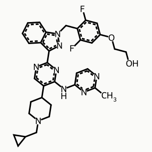 Cc1nccc(Nc2nc(-c3nn(Cc4c(F)cc(OCCO)cc4F)c4ccccc34)ncc2C2CCN(CC3CC3)CC2)n1